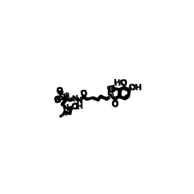 C[C@@H]1CC(=O)N1C[C@](C)(/C=N/NC(=O)CCCCCNC(=O)c1ccc(O)c(O)c1Cl)[SH](=O)=O